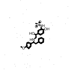 COc1ccc(C(Cc2ccccc2)NCC(O)c2ccc(O)c(NS(C)(=O)=O)c2)cc1